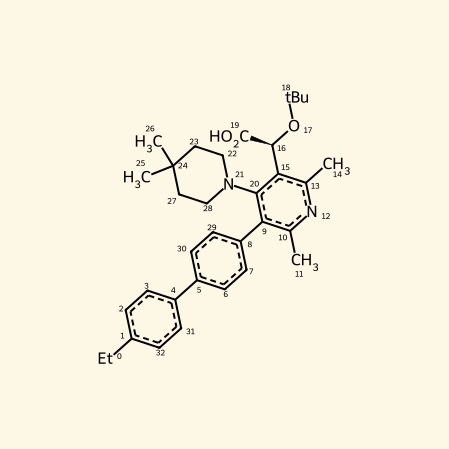 CCc1ccc(-c2ccc(-c3c(C)nc(C)c([C@H](OC(C)(C)C)C(=O)O)c3N3CCC(C)(C)CC3)cc2)cc1